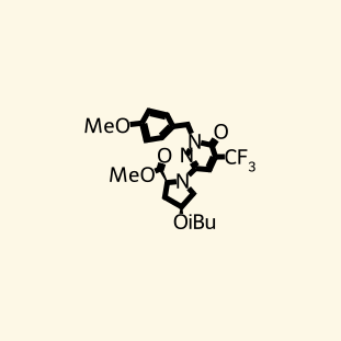 COC(=O)[C@@H]1C[C@H](OCC(C)C)CN1c1cc(C(F)(F)F)c(=O)n(Cc2ccc(OC)cc2)n1